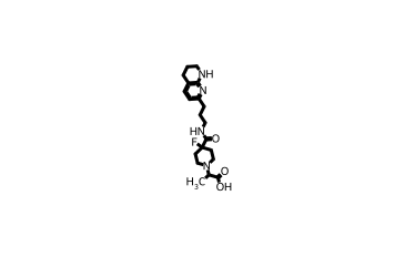 CC(C(=O)O)N1CCC(F)(C(=O)NCCCc2ccc3c(n2)NCCC3)CC1